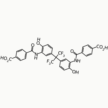 O=C(O)c1ccc(C(=O)Nc2cc(C(c3ccc(O)c(NC(=O)c4ccc(C(=O)O)cc4)c3)(C(F)(F)F)C(F)(F)F)ccc2O)cc1